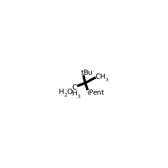 CCCC(C)C(C)(C)C(C)(C)C.O